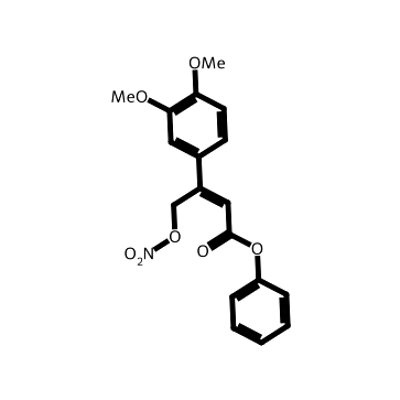 COc1ccc(/C(=C/C(=O)Oc2ccccc2)CO[N+](=O)[O-])cc1OC